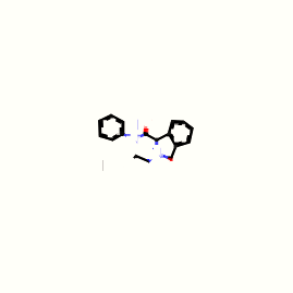 CCCN1C(=O)c2ccccc2C1C(=O)Nc1ccccc1